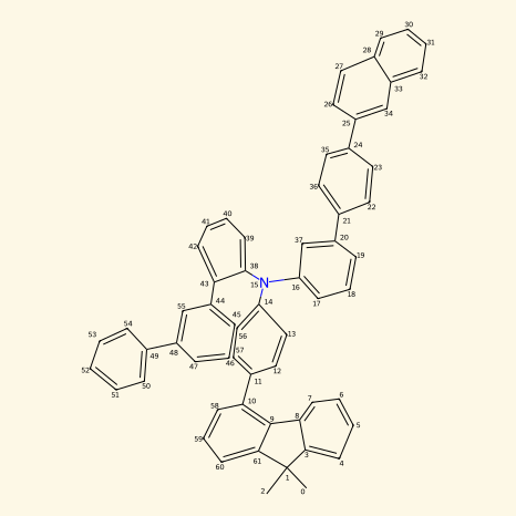 CC1(C)c2ccccc2-c2c(-c3ccc(N(c4cccc(-c5ccc(-c6ccc7ccccc7c6)cc5)c4)c4ccccc4-c4cccc(-c5ccccc5)c4)cc3)cccc21